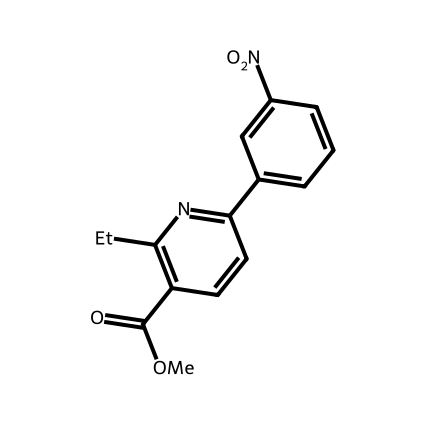 CCc1nc(-c2cccc([N+](=O)[O-])c2)ccc1C(=O)OC